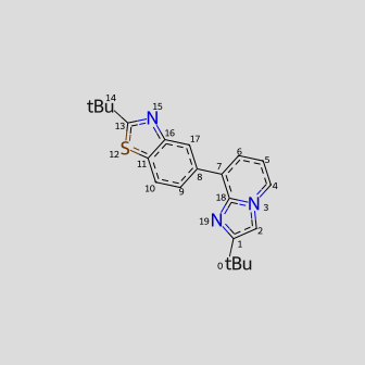 CC(C)(C)c1cn2cccc(-c3ccc4sc(C(C)(C)C)nc4c3)c2n1